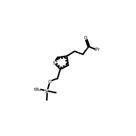 CC(C)C(=O)CCc1csc(CO[Si](C)(C)C(C)(C)C)c1